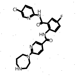 O=C(Nc1ccc(F)cc1C(=O)Nc1ccc(Cl)cn1)c1ccc(N2CCCNCC2)nc1